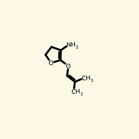 CC(C)=COC1=C(N)CCO1